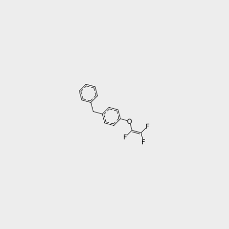 FC(F)=C(F)Oc1ccc(Cc2ccccc2)cc1